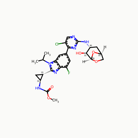 COC(=O)N[C@H]1C[C@@H]1c1nc2c(F)cc(-c3nc(N[C@@H]4C[C@H]5CO[C@H](O5)[C@H]4O)ncc3Cl)cc2n1C(C)C